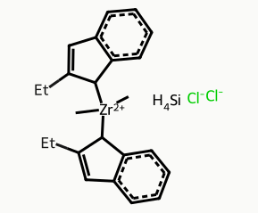 CCC1=Cc2ccccc2[CH]1[Zr+2]([CH3])([CH3])[CH]1C(CC)=Cc2ccccc21.[Cl-].[Cl-].[SiH4]